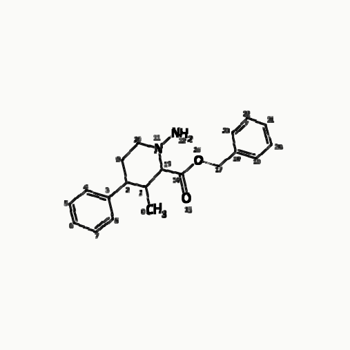 CC1C(c2ccccc2)CCN(N)C1C(=O)OCc1ccccc1